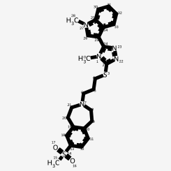 Cn1c(SCCCN2CCc3ccc(S(C)(=O)=O)cc3CC2)nnc1-c1cn(C)c2ccccc12